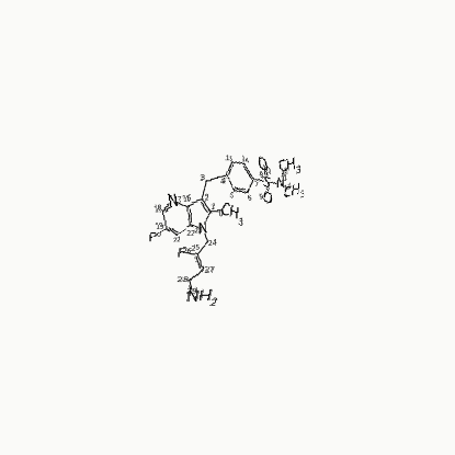 Cc1c(Cc2ccc(S(=O)(=O)N(C)C)cc2)c2ncc(F)cc2n1C/C(F)=C/CN